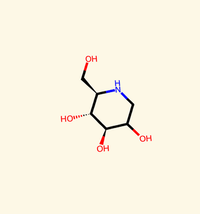 OC[C@H]1NCC(O)[C@@H](O)[C@@H]1O